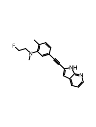 Cc1ccc(C#Cc2cc3cccnc3[nH]2)cc1N(C)CCF